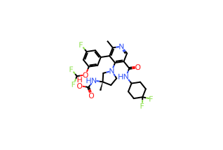 Cc1ncc(C(=O)NC2CCC(F)(F)CC2)c(N2CC[C@](C)(NC(=O)O)C2)c1-c1cc(F)cc(OC(F)F)c1